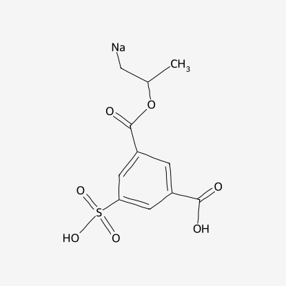 CC([CH2][Na])OC(=O)c1cc(C(=O)O)cc(S(=O)(=O)O)c1